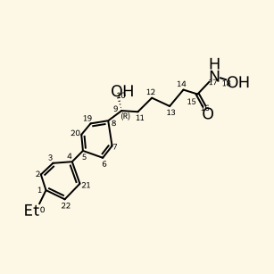 CCc1ccc(-c2ccc([C@H](O)CCCCC(=O)NO)cc2)cc1